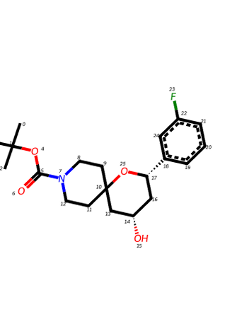 CC(C)(C)OC(=O)N1CCC2(CC1)C[C@@H](O)C[C@@H](c1cccc(F)c1)O2